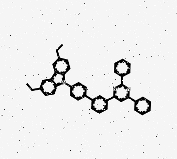 CCc1ccc2c(c1)c1cc(CC)ccc1n2-c1ccc(-c2cccc(-c3cc(-c4ccccc4)nc(-c4ccccc4)n3)c2)cc1